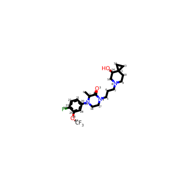 CC1C(=O)N(CCCN2CCC3(CC3)C(O)C2)CCN1c1ccc(F)c(OC(F)(F)F)c1